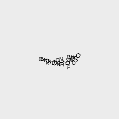 C[C@@H]1CN(C2COC2)CCN1c1ccc(Nc2cc(-c3cc(F)cc(-n4ncc5c6c(sc5c4=O)CCCC6)c3CO)cn(C)c2=O)nc1